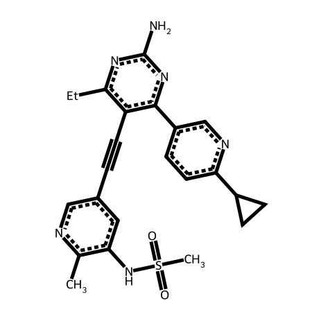 CCc1nc(N)nc(-c2ccc(C3CC3)nc2)c1C#Cc1cnc(C)c(NS(C)(=O)=O)c1